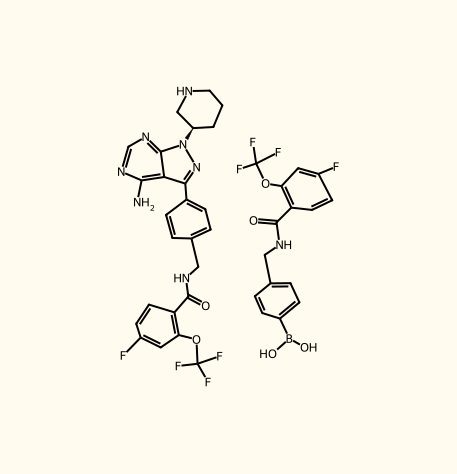 Nc1ncnc2c1c(-c1ccc(CNC(=O)c3ccc(F)cc3OC(F)(F)F)cc1)nn2[C@@H]1CCCNC1.O=C(NCc1ccc(B(O)O)cc1)c1ccc(F)cc1OC(F)(F)F